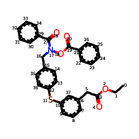 CCOC(=O)Cc1cccc(Sc2ccc(CN(OC(=O)c3ccccc3)C(=O)c3ccccc3)cc2)c1